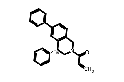 C=CC(=O)N1Cc2ccc(-c3ccccc3)cc2[C@@H](c2ccccc2)C1